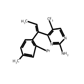 C/C=C(\c1ccc(C)cc1C(C)C)c1nc(N)ncc1C(F)(F)F